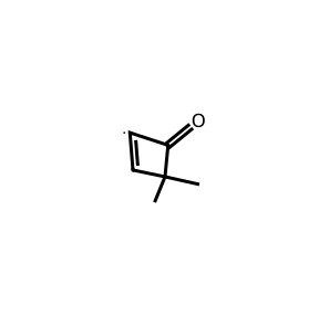 CC1(C)C=[C]C1=O